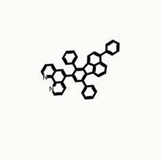 c1ccc(-c2cc(-c3cc4cccnc4c4ncccc34)c(-c3ccccc3)c3c2-c2cccc4c(-c5ccccc5)ccc-3c24)cc1